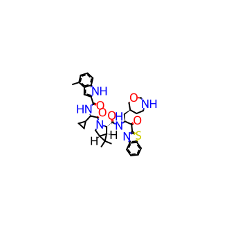 Cc1cccc2[nH]c(C(=O)N[C@H](C(=O)N3C[C@H]4[C@@H]([C@H]3C(=O)N[C@@H](C[C@@H]3CCNCOC3)C(=O)c3nc5ccccc5s3)C4(C)C)C3CC3)cc12